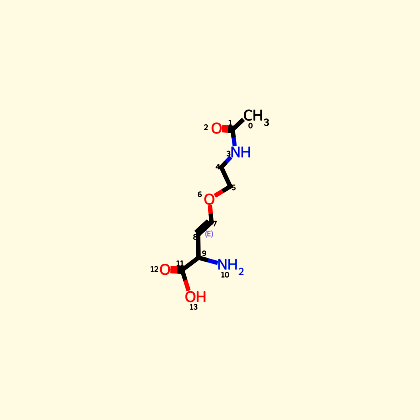 CC(=O)NCCO/C=C/C(N)C(=O)O